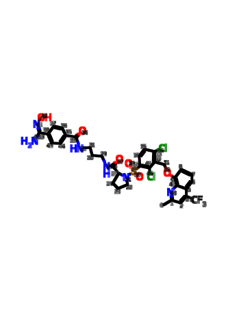 Cc1cc(C(F)(F)F)c2cccc(OCc3c(Cl)ccc(S(=O)(=O)N4CCC[C@H]4C(=O)NCCCNC(=O)c4ccc(/C(N)=N\O)cc4)c3Cl)c2n1